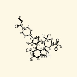 C=CC(=O)N1CCC(n2nc(N3CCN(S(C)(=O)=O)CC3(C)C)c(-c3c(Cl)c(C)cc4[nH]ncc34)c2C)CC1